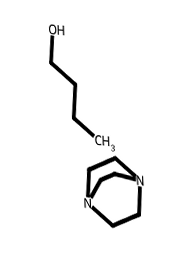 C1CN2CCN1CC2.CCCCO